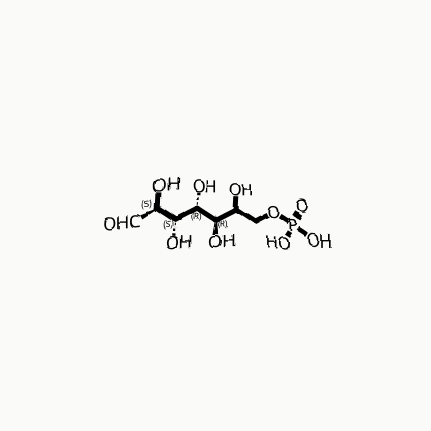 O=C[C@@H](O)[C@@H](O)[C@H](O)[C@H](O)C(O)COP(=O)(O)O